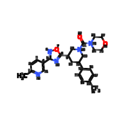 Cc1ccc(-c2noc(C3CC(c4ccc(C(F)(F)F)cc4)CN(C(=O)N4CCOCC4)C3)n2)cn1